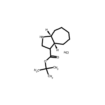 CC(C)(C)OC(=O)C1CN[C@@H]2CCCCC[C@H]12.Cl